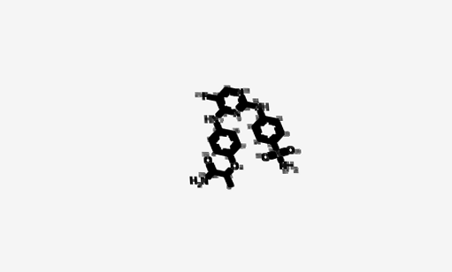 CC(Oc1ccc(Nc2nc(Nc3ccc(S(N)(=O)=O)cc3)ncc2F)cc1)C(N)=O